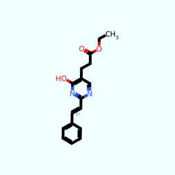 CCOC(=O)CCc1cnc(/C=C/c2ccccc2)nc1O